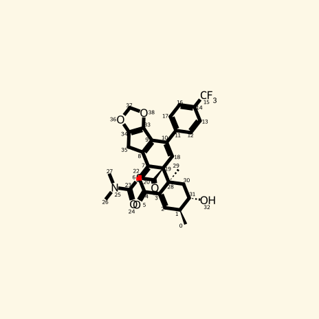 C[C@H]1C=C2C(=O)C=C3C4=C(C(c5ccc(C(F)(F)F)cc5)=C[C@]3(C(=O)SC(=O)N(C)C)[C@@]2(C)C[C@@H]1O)C1=C(C4)OCO1